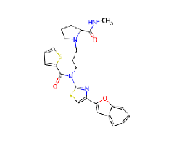 CNC(=O)C1CCCN1CCCN(C(=O)c1cccs1)c1nc(-c2cc3ccccc3o2)cs1